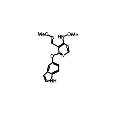 CO/N=C/c1c(NOC)ncnc1Oc1ccc2[nH]ccc2c1